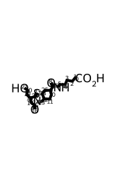 O=C(O)CCCCCNC(=O)C1CCC(CN2C(=O)CC(CCO)C2=S)CC1